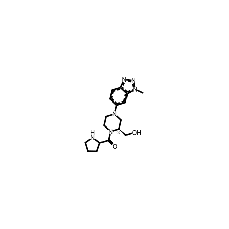 Cn1nnc2ccc(N3CCN(C(=O)C4CCCN4)[C@H](CO)C3)cc21